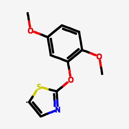 COc1ccc(OC)c(Oc2nc[c]s2)c1